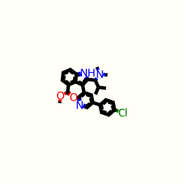 COC(=O)c1cccc2[nH]c(C(C(C)C)N(C)C)c(-c3cncc(-c4ccc(Cl)cc4)c3)c12